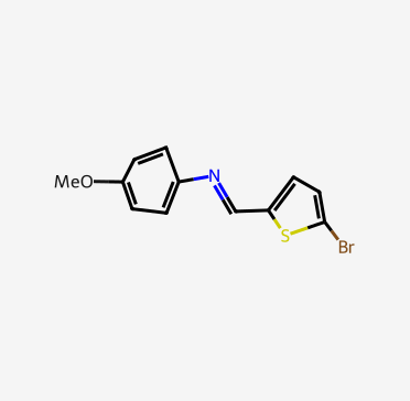 COc1ccc(N=Cc2ccc(Br)s2)cc1